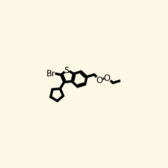 CCOOCc1ccc2c(C3CCCC3)c(Br)sc2c1